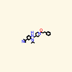 CC(C)=Nc1cc(C2=CN=C2)ccc1NCC1CCN(C(=O)CCc2ccccc2)CC1